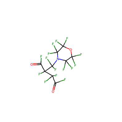 O=C(F)C(F)(F)C(F)(C(=O)F)C(F)(F)N1C(F)(F)C(F)(F)OC(F)(F)C1(F)F